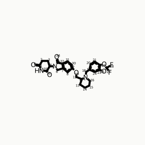 O=C1CCC(N2Cc3cc(OCC4CCCCN4Cc4ccc5c(c4)OC(F)(F)O5)ccc3C2=O)C(=O)N1